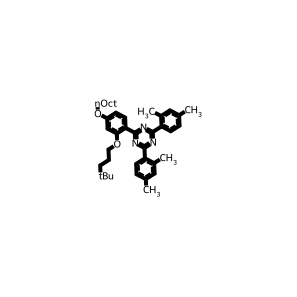 CCCCCCCCOc1ccc(-c2nc(-c3ccc(C)cc3C)nc(-c3ccc(C)cc3C)n2)c(OCCCC(C)(C)C)c1